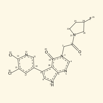 O=C(Cn1cnc2[nH]cc(-c3cnc(Cl)c(Cl)c3)c2c1=O)N1CCC(F)C1